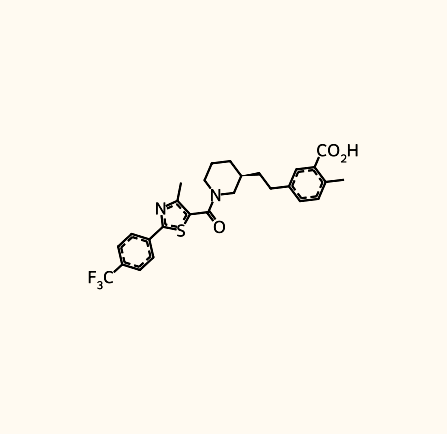 Cc1ccc(CC[C@@H]2CCCN(C(=O)c3sc(-c4ccc(C(F)(F)F)cc4)nc3C)C2)cc1C(=O)O